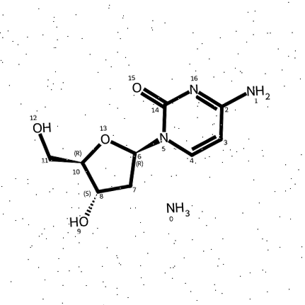 N.Nc1ccn([C@H]2C[C@H](O)[C@@H](CO)O2)c(=O)n1